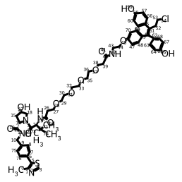 Cc1ncsc1-c1ccc(CNC(=O)[C@@H]2C[C@@H](O)CN2C(=O)[C@@H](NC(=O)CCOCCOCCOCCOCCC(=O)NCCOc2ccc(C(=C(CCCl)c3ccc(O)cc3)c3ccc(O)cc3)cc2)C(C)(C)C)cc1